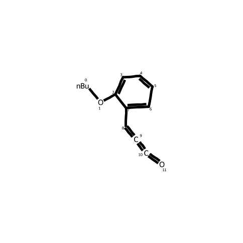 CCCCOc1ccccc1C=C=C=O